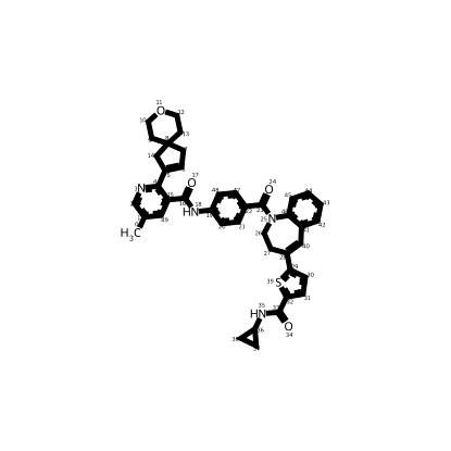 Cc1cnc(C2=CCC3(CCOCC3)C2)c(C(=O)Nc2ccc(C(=O)N3CCC(c4ccc(C(=O)NC5CC5)s4)=Cc4ccccc43)cc2)c1